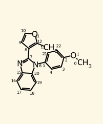 COc1ccc(-n2c(-c3ccoc3C)nc3ccccc32)cc1